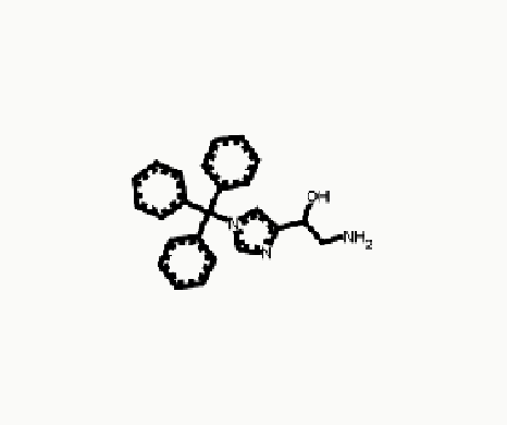 NCC(O)c1cn(C(c2ccccc2)(c2ccccc2)c2ccccc2)cn1